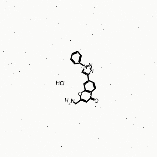 Cl.NCc1cc(=O)c2ccc(-c3cn(-c4ccccc4)nn3)cc2o1